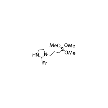 CO[Si](CCCN1CCNC1C(C)C)(OC)OC